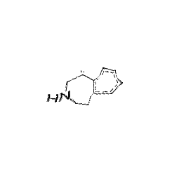 [C]1CNCCc2ccccc21